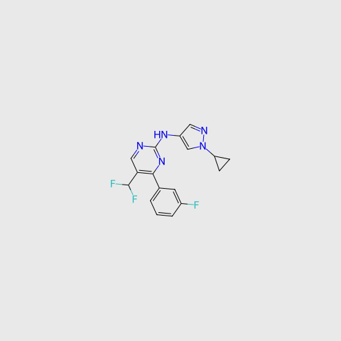 Fc1cccc(-c2nc(Nc3cnn(C4CC4)c3)ncc2C(F)F)c1